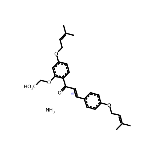 CC(C)=CCOc1ccc(/C=C/C(=O)c2ccc(OCC=C(C)C)cc2OCC(=O)O)cc1.N